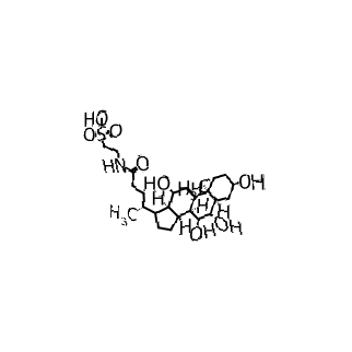 C[C@H](CCC(=O)NCCS(=O)(=O)O)C1CC[C@@H]2[C@@H]1[C@@H](O)C[C@H]1[C@H]2[C@H](O)[C@H](O)[C@@H]2C[C@H](O)CC[C@@]21C